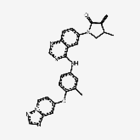 C=C1C(=O)N(c2ccc3ncnc(Nc4ccc(Oc5ccn6ncnc6c5)c(C)c4)c3c2)CC1C